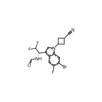 N#CC1CC(n2cc([C@H](NC=O)C(F)F)c3cc(F)c(Br)cc32)C1